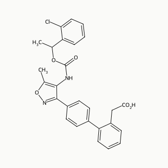 Cc1onc(-c2ccc(-c3ccccc3CC(=O)O)cc2)c1NC(=O)OC(C)c1ccccc1Cl